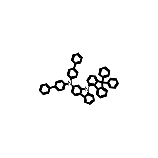 c1ccc(-c2ccc(N(c3ccc(-c4ccccc4)cc3)c3ccc4c5ccccc5n(-c5cccc6c5-c5ccccc5C6(c5ccccc5)c5ccccc5)c4c3)cc2)cc1